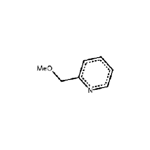 COCc1ccccn1